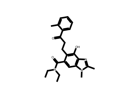 CCN(CC)C(=O)c1cc2c(nc(C)n2C)c(O)c1CCC(=O)c1ccccc1C